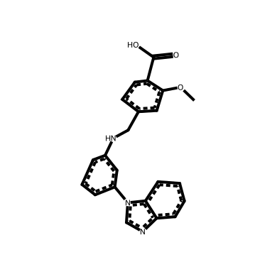 COc1cc(CNc2cccc(-n3cnc4ccccc43)c2)ccc1C(=O)O